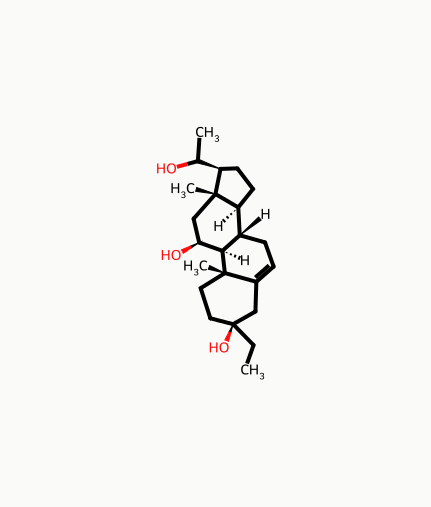 CC[C@]1(O)CC[C@@]2(C)C(=CC[C@@H]3[C@@H]2[C@@H](O)C[C@]2(C)[C@@H](C(C)O)CC[C@@H]32)C1